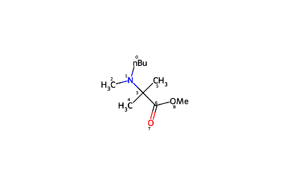 CCCCN(C)C(C)(C)C(=O)OC